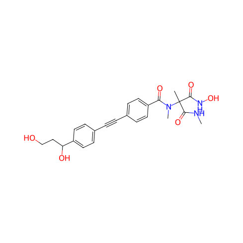 CNC(=O)C(C)(C(=O)NO)N(C)C(=O)c1ccc(C#Cc2ccc(C(O)CCO)cc2)cc1